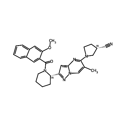 COc1cc2ccccc2cc1C(=O)N1CCCC[C@H]1c1cc2nc(N3CC[C@H](C#N)C3)c(C)cn2n1